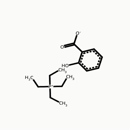 CC[P+](CC)(CC)CC.O=C([O-])c1ccccc1O